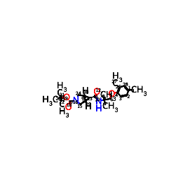 Cc1ccc(OCC(C)(C)NC(=O)[C@H]2[C@@H]3CN(C(=O)OC(C)(C)C)C[C@@H]32)c(C)c1